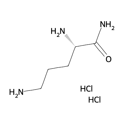 Cl.Cl.NCCC[C@H](N)C(N)=O